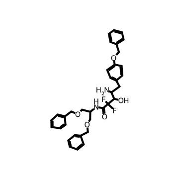 NC(Cc1ccc(OCc2ccccc2)cc1)C(O)C(F)(F)C(=O)NC(COCc1ccccc1)COCc1ccccc1